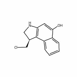 Oc1cc2c(c3ccccc13)[C@@H](CCl)CN2